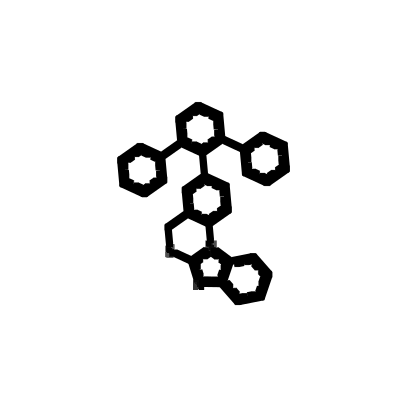 c1ccc(-c2cccc(-c3ccccc3)c2-c2ccc3c(c2)CSc2nc4ccccc4n2-3)cc1